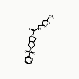 Cc1cc(CNC(=O)N2CC3=C(C2)CN(S(=O)(=O)c2ccccn2)C3)no1